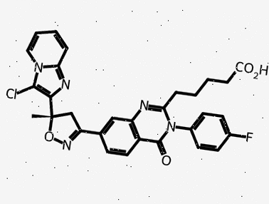 C[C@@]1(c2nc3ccccn3c2Cl)CC(c2ccc3c(=O)n(-c4ccc(F)cc4)c(CCCCC(=O)O)nc3c2)=NO1